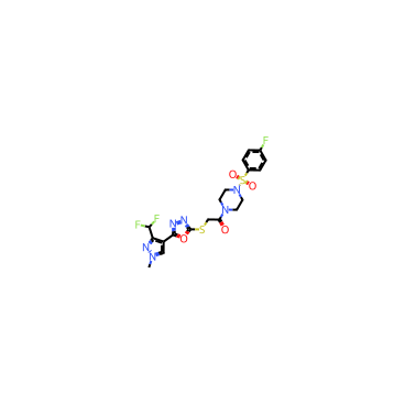 Cn1cc(-c2nnc(SCC(=O)N3CCN(S(=O)(=O)c4ccc(F)cc4)CC3)o2)c(C(F)F)n1